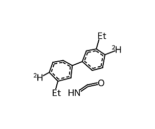 N=C=O.[2H]c1ccc(-c2ccc([2H])c(CC)c2)cc1CC